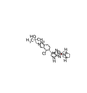 CC(C)(O)Cn1cc2c(Cl)c(-c3c[nH]c4nc(N5[C@@H]6CC[C@H]5C[C@@H](N)C6)cnc34)ccc2n1